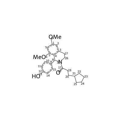 COc1cc2c(c(OC)c1)C(c1ccc(O)cc1)N(C(=O)CCC1CCCC1)CC2